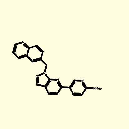 CC(=O)Nc1ccc(-c2ccc3nnn(Cc4ccc5ncccc5c4)c3n2)cn1